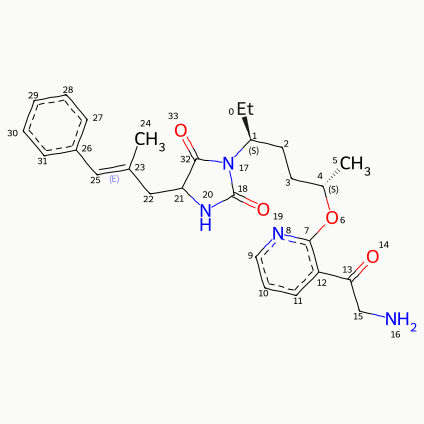 CC[C@@H](CC[C@H](C)Oc1ncccc1C(=O)CN)N1C(=O)NC(C/C(C)=C/c2ccccc2)C1=O